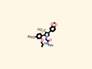 C=CCOc1cc(OC)ccc1C1C(C(=O)O)C(c2ccc3c(c2)OCO3)CN1CC(=O)NCCC